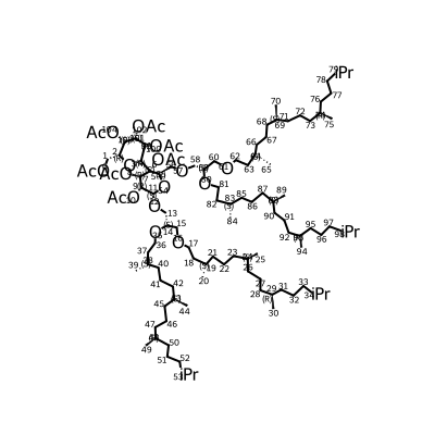 CC(=O)OC[C@H]1O[C@@H]([C@]2(OC(C)=O)[C@H](OC(C)=O)[C@@H](OC(C)=O)[C@@H](OC[C@H](COCC[C@@H](C)CCC[C@@H](C)CCC[C@H](C)CCCC(C)C)OCC[C@@H](C)CCC[C@@H](C)CCC[C@H](C)CCCC(C)C)O[C@@H]2COC[C@H](COCC[C@@H](C)CCC[C@@H](C)CCC[C@H](C)CCCC(C)C)OCC[C@@H](C)CCC[C@@H](C)CCC[C@H](C)CCCC(C)C)[C@H](OC(C)=O)[C@@H](OC(C)=O)[C@H]1OC(C)=O